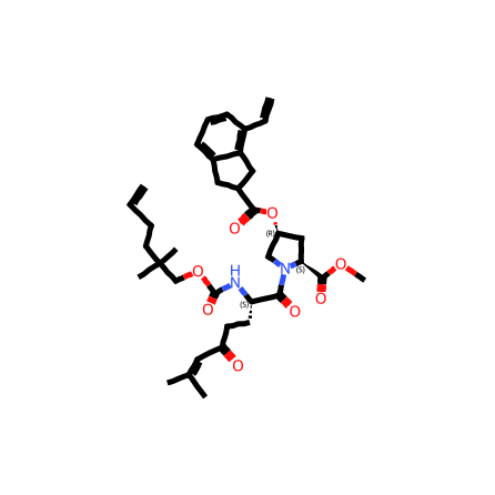 C=CCCC(C)(C)COC(=O)N[C@@H](CCC(=O)C=C(C)C)C(=O)N1C[C@H](OC(=O)C2Cc3cccc(C=C)c3C2)C[C@H]1C(=O)OC